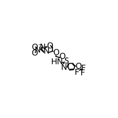 O=C(CO[C@@H]1COc2nc([N+](=O)[O-])cn2C1)Nc1nc2ccc(OC(F)(F)F)cc2s1